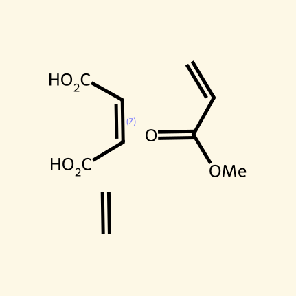 C=C.C=CC(=O)OC.O=C(O)/C=C\C(=O)O